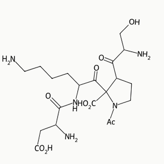 CC(=O)N1CCC(C(=O)C(N)CO)C1(C(=O)O)C(=O)C(CCCCN)NC(=O)C(N)CC(=O)O